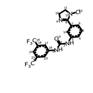 O=C(Nc1cccc(C2=NCCN2Cl)c1)Nc1cc(C(F)(F)F)cc(C(F)(F)F)c1